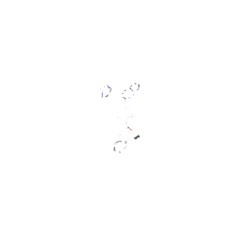 C#Cc1ccccc1CC(=O)N1CCN(c2nc(Nc3cc(C)[nH]n3)c3cccn3n2)CC1